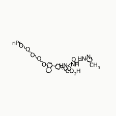 CCCOCCOCCOCCOCCOc1ccc(-c2ccc([C@H](CC(=O)O)NC(=O)CNC(=O)CCCNc3cc(C)ccn3)cc2)c2c1CCCC2